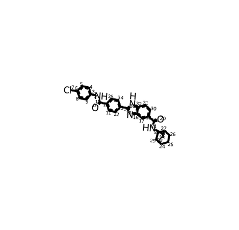 O=C(Nc1ccc(Cl)cc1)c1ccc(-c2nc3cc(C(=O)NC4CC5CCC4CC5)ccc3[nH]2)cc1